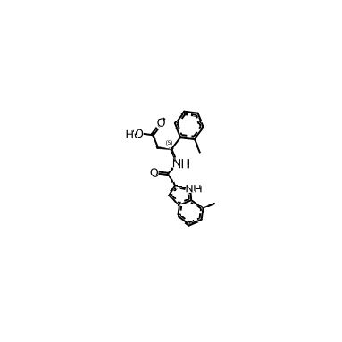 Cc1ccccc1[C@H](CC(=O)O)NC(=O)c1cc2cccc(C)c2[nH]1